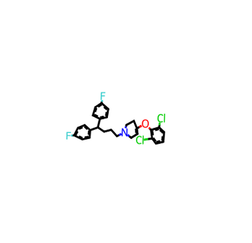 Fc1ccc(C(CCCN2CC=C(Oc3c(Cl)cccc3Cl)CC2)c2ccc(F)cc2)cc1